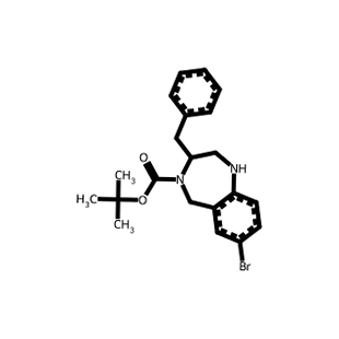 CC(C)(C)OC(=O)N1Cc2cc(Br)ccc2NCC1Cc1ccccc1